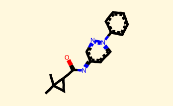 CC1(C)CC1C(=O)N=c1ccn(-c2ccccc2)nc1